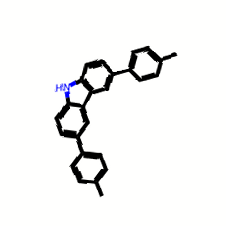 Cc1ccc(-c2ccc3[nH]c4ccc(-c5ccc(C)cc5)cc4c3c2)cc1